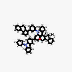 CC1(C)c2ccccc2-c2cccc(-c3ccccc3N(c3cccc(-c4ccc5c(c4)c4ccccc4n5-c4ccccc4)c3)c3cccc(-c4cccc5c4ccc4ccccc45)c3)c21